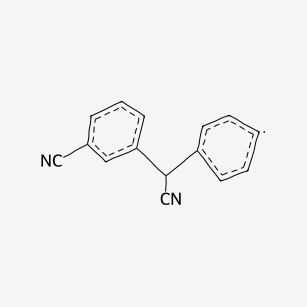 N#Cc1cccc(C(C#N)c2cc[c]cc2)c1